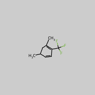 CC1=C(C(F)(F)F)C=CC(C)C1